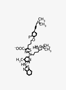 Cc1cc(N(CCCC(O)C[N+](C)(C)C)c2nc(C(=O)[O-])c(CCCOc3ccc(C#CCN(C)C)cc3F)s2)nnc1Nc1nc2ccccc2s1